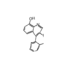 Cc1ccccc1-c1c(I)cnc2c(O)cccc12